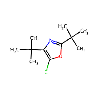 CC(C)(C)c1nc(C(C)(C)C)c(Cl)o1